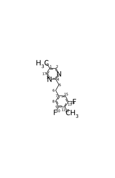 Cc1cnc(CCc2cc(F)c(C)c(F)c2)nc1